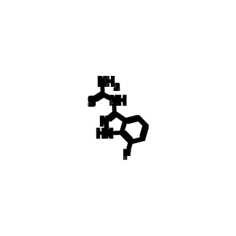 NC(=S)Nc1n[nH]c2c(F)cccc12